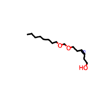 CCCCCCCCOCOCC/C=C\CCO